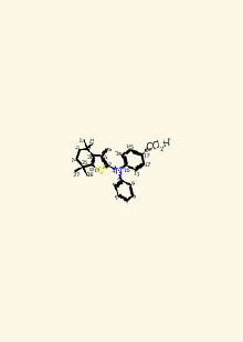 Cc1c(N(c2ccccc2)c2ccc(C(=O)O)cc2)sc2c1C(C)(C)CCC2(C)C